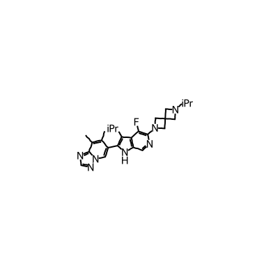 Cc1c(-c2[nH]c3cnc(N4CC5(C4)CN(C(C)C)C5)c(F)c3c2C(C)C)cn2ncnc2c1C